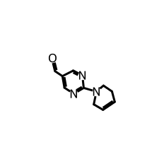 O=Cc1cnc(N2CC=CCC2)nc1